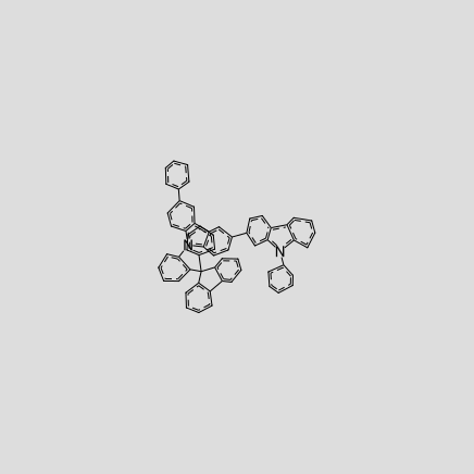 c1ccc(-c2ccc3c(c2)c2cc(-c4ccc5c6ccccc6n(-c6ccccc6)c5c4)ccc2n3-c2ccccc2C2(c3ccccc3)c3ccccc3-c3ccccc32)cc1